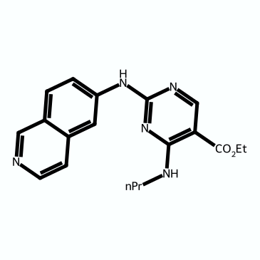 CCCNc1nc(Nc2ccc3cnccc3c2)ncc1C(=O)OCC